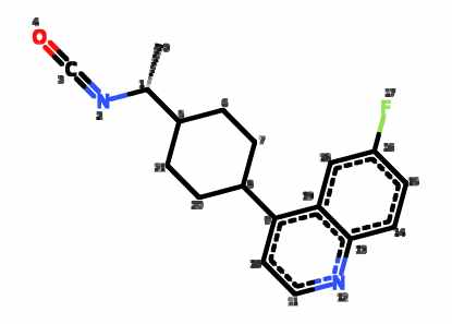 C[C@@H](N=C=O)C1CCC(c2ccnc3ccc(F)cc23)CC1